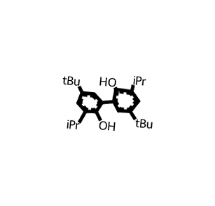 CC(C)c1cc(C(C)(C)C)cc(-c2cc(C(C)(C)C)cc(C(C)C)c2O)c1O